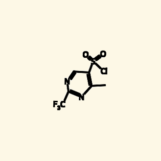 Cc1nc(C(F)(F)F)ncc1S(=O)(=O)Cl